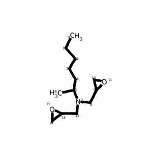 CCCCCC(C)N(CC1CO1)CC1CO1